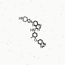 Cc1cc(Nc2ncnc3ccc(N4CC5(CCNCC5)C4)nc23)ccc1Oc1ccn2ncnc2c1